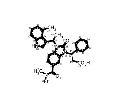 CCN(C)C(=O)c1ccc2c(c1)n([C@H](CC(=O)O)c1ccccc1)c(=O)n2C(C)c1c[nH]c2cccc(C)c12